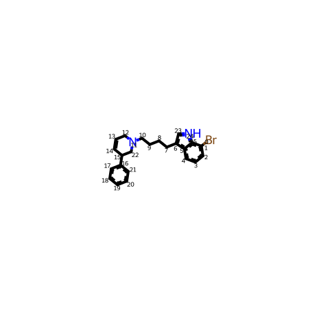 Brc1cccc2c(CCCCN3CC=CC(c4ccccc4)C3)c[nH]c12